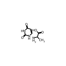 CC(N)C(=O)O.O=c1cc[nH]c(=O)[nH]1